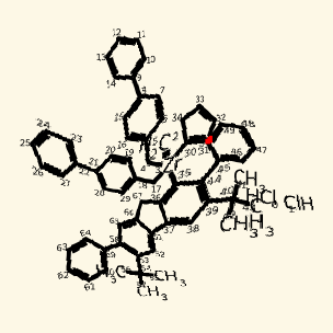 Cl.Cl.[CH2]=[Zr]([CH2]c1ccc(-c2ccccc2)cc1)([CH2]c1ccc(-c2ccccc2)cc1)([C]1=CC=CC1)[c]1c2c(cc(C(C)(C)C)c1-c1ccccc1)-c1cc(C(C)(C)C)c(-c3ccccc3)cc1C2